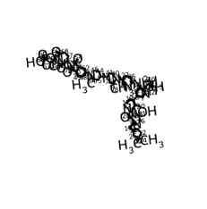 [2H]C([2H])([2H])Oc1ncc(-c2ccnc(N3CCn4c(cc5c4CC(C)(C)C5)C3=O)c2CO)cc1Nc1ccc(N2CCN(C3CCN(c4ccc5c(c4)C(=O)N([C@H]4CCC(=O)N(C(C)OP(=O)(O)O)C4=O)C5=O)[C@@H](C)C3)C[C@@H]2C)cn1